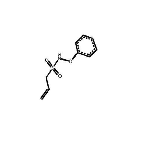 C=CCS(=O)(=O)NOc1ccccc1